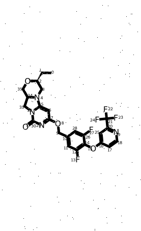 CC[C@H]1CN2c3cc(OCc4cc(F)c(Oc5ccnc(C(F)(F)F)c5)c(F)c4)nc(=O)n3CC2CO1